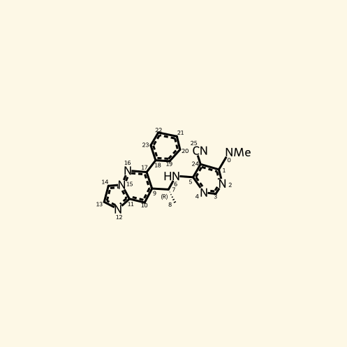 CNc1ncnc(N[C@H](C)c2cc3nccn3nc2-c2ccccc2)c1C#N